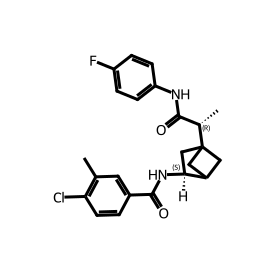 Cc1cc(C(=O)N[C@H]2CC3([C@@H](C)C(=O)Nc4ccc(F)cc4)CC2C3)ccc1Cl